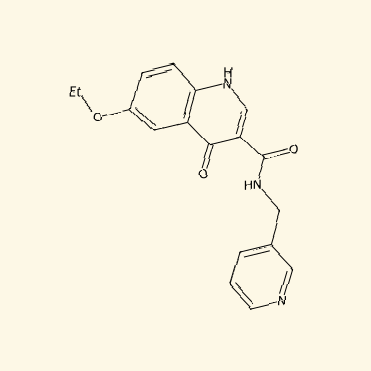 CCOc1ccc2[nH]cc(C(=O)NCc3cccnc3)c(=O)c2c1